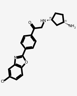 N[C@H]1CC[C@@H](NCC(=O)c2ccc(-c3nc4cc(Cl)ccc4o3)cc2)C1